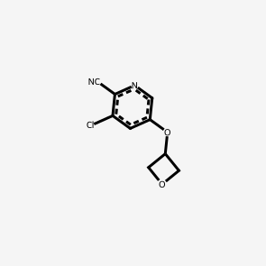 N#Cc1ncc(OC2COC2)cc1Cl